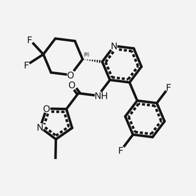 Cc1cc(C(=O)Nc2c(-c3cc(F)ccc3F)ccnc2[C@H]2CCC(F)(F)CO2)on1